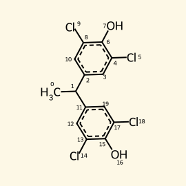 CC(c1cc(Cl)c(O)c(Cl)c1)c1cc(Cl)c(O)c(Cl)c1